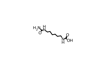 NC(=O)NCCCCCCNC(=O)O